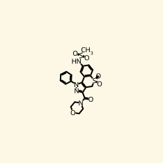 CS(=O)(=O)Nc1ccc2c(c1)-c1c(c(C(=O)N3CCOCC3)nn1-c1ccccc1)CS2(=O)=O